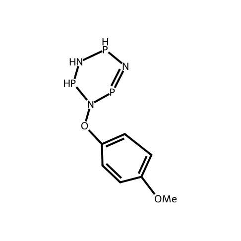 COc1ccc(On2pn[pH][nH][pH]2)cc1